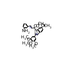 COc1cc(/C=C/c2ccc(OC)c(OC)c2NC(=O)/C=C/c2cccc(N)c2)cc(OC)c1OC